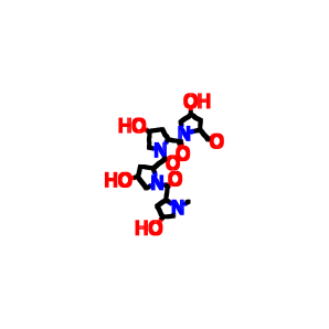 CN1CC(O)CC1C(=O)N1CC(O)CC1C(=O)N1CC(O)CC1C(=O)N1CC(O)CC1C=O